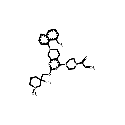 C=CC(=O)N1CCN(c2nc(OCC3(C)CCCN(C)C3)nc3c2CCN(c2cccc4cccc(C)c24)C3)CC1